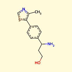 Cc1ncsc1-c1ccc(C(N)CCO)cc1